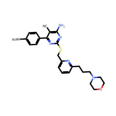 CC(=O)Nc1ccc(-c2nc(SCc3cccc(CCCN4CCOCC4)n3)nc(N)c2C#N)cc1